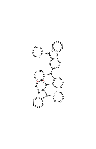 c1ccc(N(c2ccc3c4ccccc4n(-c4ccccc4)c3c2)c2ccccc2-c2cccc3c4ccccc4n(-c4ccccc4)c23)cc1